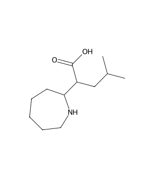 CC(C)CC(C(=O)O)C1CCCCCN1